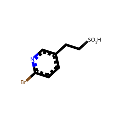 O=S(=O)(O)CCc1ccc(Br)nc1